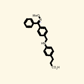 CO/N=C(\c1ccccc1)c1ccc(CNc2ccc(CCC(=O)O)cc2)cc1